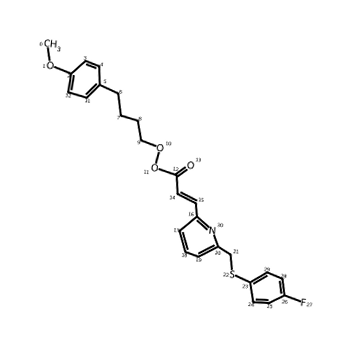 COc1ccc(CCCCOOC(=O)C=Cc2cccc(CSc3ccc(F)cc3)n2)cc1